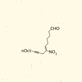 CCCCCCCCC#CC/C(=C/CCCC[C]=O)[N+](=O)[O-]